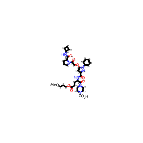 COCCCOC(=O)CCC(NC(=O)c1cc(OCC(=O)N2CCCC2C(=O)NC2CCC2)n(-c2ccccc2)n1)C(=O)N1CCN(C(=O)O)CC1